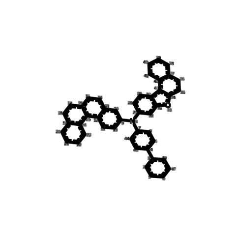 c1ccc(-c2ccc(N(c3ccc4c(ccc5ccc6ccccc6c54)c3)c3ccc4c(c3)oc3ccc5ccccc5c34)cc2)cc1